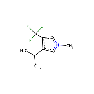 CC(C)c1cn(C)cc1C(F)(F)F